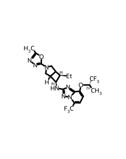 CC[C@@H]1C2CN(c3nnc(C)o3)C[C@H]2[C@@H]1Nc1nc2c(O[C@@H](C)C(F)(F)F)ccc(C(F)(F)F)n2n1